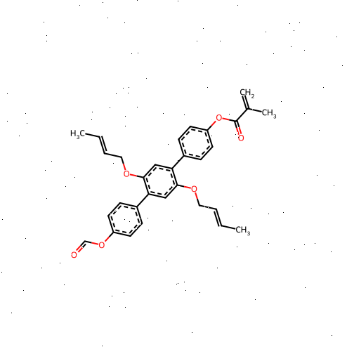 C=C(C)C(=O)Oc1ccc(-c2cc(OC/C=C/C)c(-c3ccc(OC=O)cc3)cc2OC/C=C/C)cc1